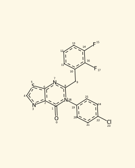 O=c1c2ncsc2nc(Cc2cccc(F)c2F)n1-c1ccc(Cl)cc1